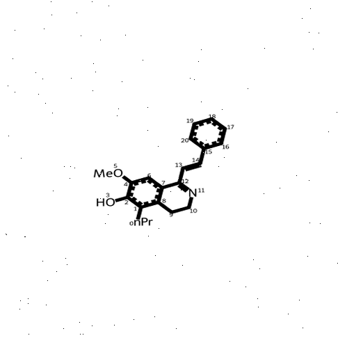 CCCc1c(O)c(OC)cc2c1CCN=C2C=Cc1ccccc1